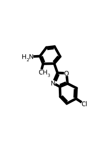 Cc1c(N)cccc1-c1nc2ccc(Cl)cc2o1